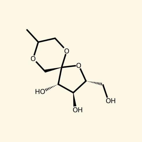 CC1CO[C@]2(CO1)O[C@H](CO)[C@@H](O)[C@@H]2O